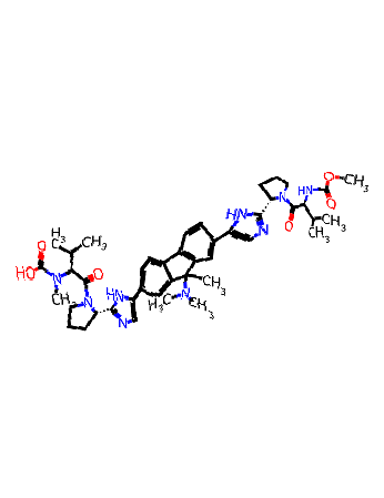 COC(=O)N[C@H](C(=O)N1CCC[C@H]1c1ncc(-c2ccc3c(c2)C(C)(N(C)C)c2cc(-c4cnc([C@@H]5CCCN5C(=O)[C@H](C(C)C)N(C)C(=O)O)[nH]4)ccc2-3)[nH]1)C(C)C